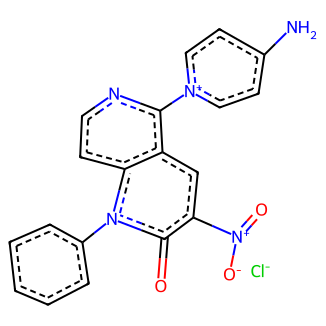 Nc1cc[n+](-c2nccc3c2cc([N+](=O)[O-])c(=O)n3-c2ccccc2)cc1.[Cl-]